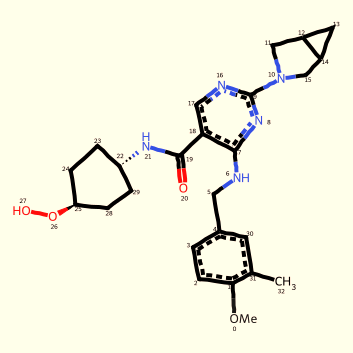 COc1ccc(CNc2nc(N3CC4CC4C3)ncc2C(=O)N[C@H]2CC[C@H](OO)CC2)cc1C